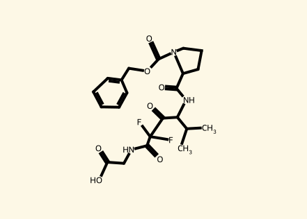 CC(C)C(NC(=O)C1CCCN1C(=O)OCc1ccccc1)C(=O)C(F)(F)C(=O)NCC(=O)O